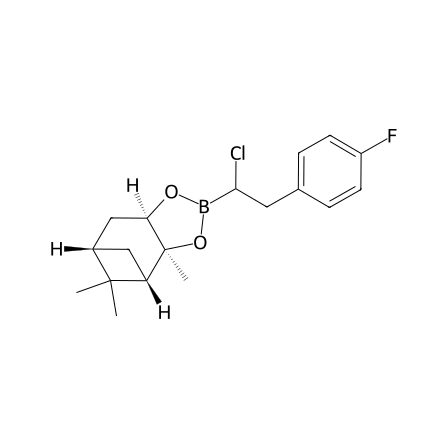 CC1(C)[C@@H]2C[C@H]3OB(C(Cl)Cc4ccc(F)cc4)O[C@@]3(C)[C@H]1C2